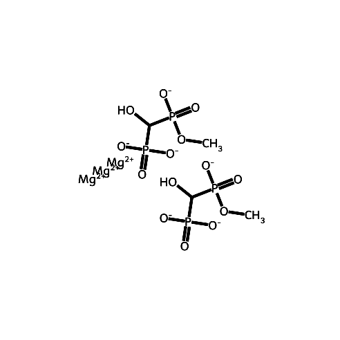 COP(=O)([O-])C(O)P(=O)([O-])[O-].COP(=O)([O-])C(O)P(=O)([O-])[O-].[Mg+2].[Mg+2].[Mg+2]